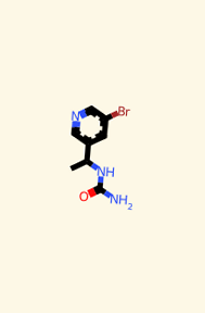 CC(NC(N)=O)c1cncc(Br)c1